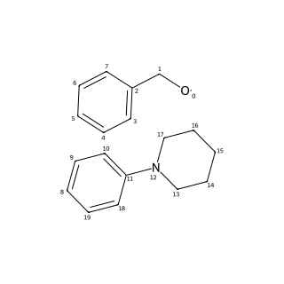 [O]Cc1ccccc1.c1ccc(N2CCCCC2)cc1